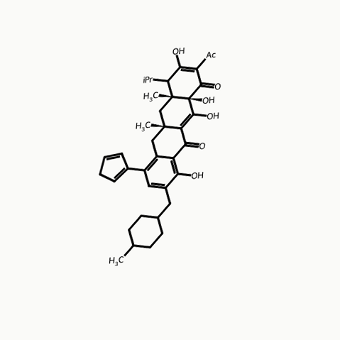 CC(=O)C1=C(O)C(C(C)C)[C@@]2(C)C[C@@]3(C)Cc4c(C5=CCC=C5)cc(CC5CCC(C)CC5)c(O)c4C(=O)C3=C(O)[C@@]2(O)C1=O